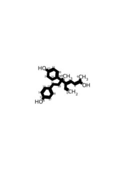 C=C/C(=C\C=C(/C)O)C(C)(CCc1ccc(O)cc1)C1=CC=C(O)CC1